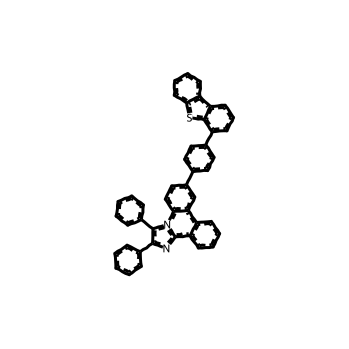 c1ccc(-c2nc3c4ccccc4c4cc(-c5ccc(-c6cccc7c6sc6ccccc67)cc5)ccc4n3c2-c2ccccc2)cc1